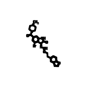 CN1CCN(C(=O)c2cc(Br)c3c(c2)NC(=O)/C3=N\NOCCc2ccc3occc3c2)CC1